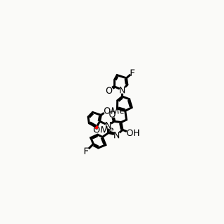 COc1cccc(OC)c1-n1c(-c2ccc(F)cc2)nc(O)c(Cc2ccc(-n3cc(F)ccc3=O)cc2)c1=O